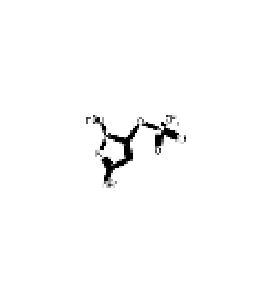 CCCCn1nc(CCC)cc1OS(=O)(=O)C(F)(F)F